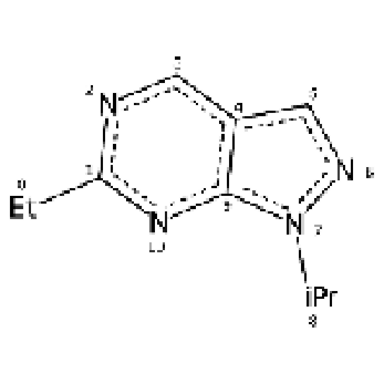 CCc1ncc2cnn(C(C)C)c2n1